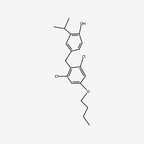 CCCCOc1cc(Cl)c(Cc2ccc(O)c(C(C)C)c2)c(Cl)c1